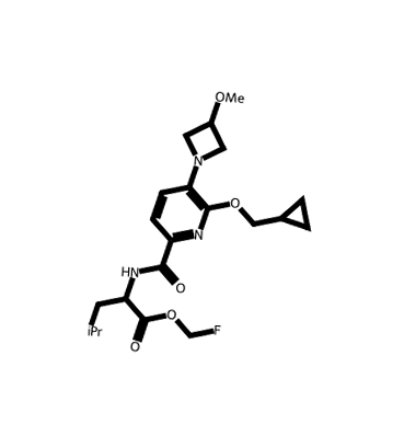 COC1CN(c2ccc(C(=O)NC(CC(C)C)C(=O)OCF)nc2OCC2CC2)C1